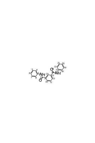 O=C(Nc1ccccc1)c1cccc(C(=O)Nc2ccccc2)c1